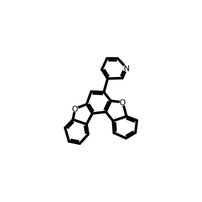 c1cncc(-c2cc3oc4ccccc4c3c3c2oc2ccccc23)c1